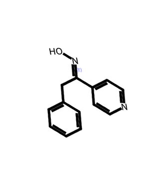 O/N=C(\Cc1ccccc1)c1ccncc1